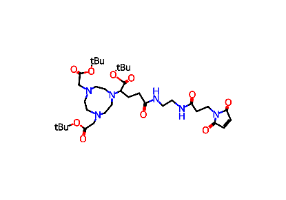 CC(C)(C)OC(=O)CN1CCN(CC(=O)OC(C)(C)C)CCN(C(CCC(=O)NCCNC(=O)CCN2C(=O)C=CC2=O)C(=O)OC(C)(C)C)CC1